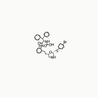 O=C(O)NC(C(=O)Nc1ccccc1CC[C@@H]1CNC[C@@H](CSc2ccc(Br)cc2)O1)C(c1ccccc1)c1ccccc1